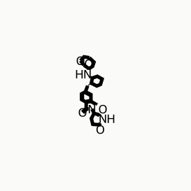 O=C1CCC(N2Cc3cc(C[C@H]4CCCC[C@@H]4NC4CCC5COC4O5)ccc3C2=O)C(=O)N1